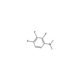 CN(C)c1ccc(F)c(F)c1F